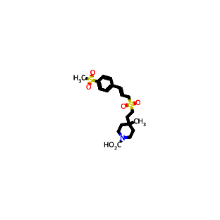 CC1(CCS(=O)(=O)CC=Cc2ccc(S(C)(=O)=O)cc2)CCN(C(=O)O)CC1